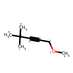 COCC#CC(C)(C)C